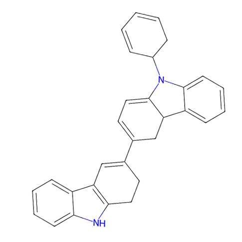 C1=CCC(N2C3=CC=C(C4=Cc5c([nH]c6ccccc56)CC4)CC3c3ccccc32)C=C1